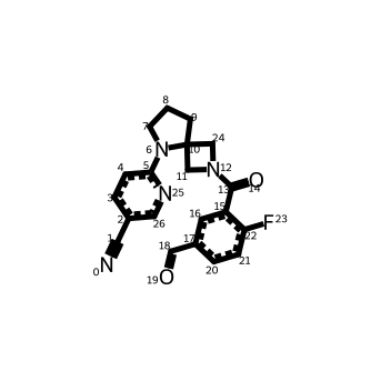 N#Cc1ccc(N2CCCC23CN(C(=O)c2cc(C=O)ccc2F)C3)nc1